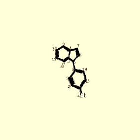 CCc1ccc([C]2C=Cc3ccccc32)cc1